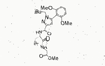 CCC(C)Cn1nc(C(=O)N[C@@H](CC(C)C)C(=O)NCC(=O)OC)cc1-c1c(OC)cccc1OC